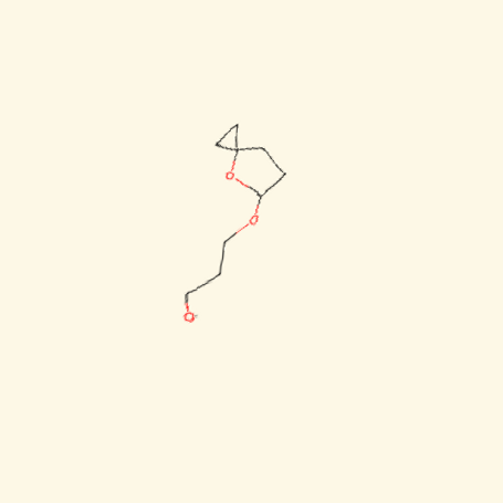 [O]CCCOC1CCC2(CC2)O1